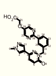 Cn1cc(-c2ccc(=O)n(Cc3cccc(-c4ncc(OCC(=O)O)cn4)c3)n2)cn1